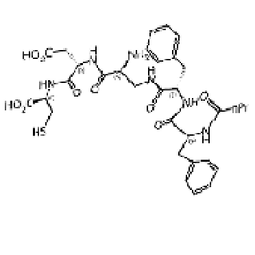 CCCC(=O)N[C@@H](Cc1ccccc1)C(=O)N[C@@H](Cc1ccccc1)C(=O)NC[C@H](N)C(=O)N[C@@H](CC(=O)O)C(=O)N[C@@H](CS)C(=O)O